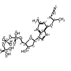 CC(N=[N+]=[N-])Oc1nc(N)nc2c1ncn2[C@H]1C[C@@H](O)[C@@H](COP(=O)(O)OP(=O)(O)OP(=O)(O)O)O1